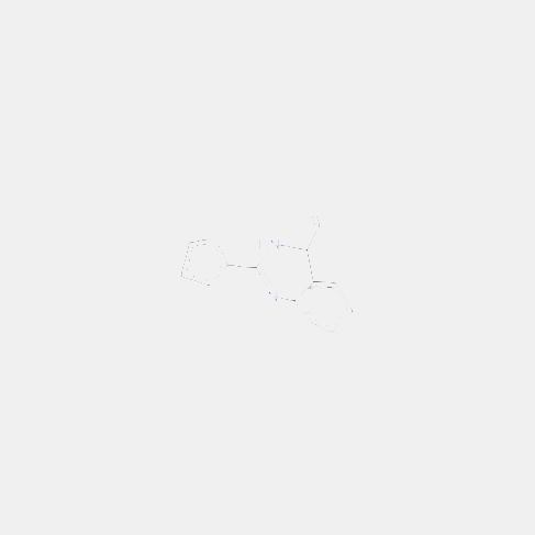 O=CC1NC(c2cccs2)=Nc2ccccc21